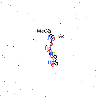 COc1cccc(-c2cnc(C(=O)NCCOCCNCC(=O)N3CCN(C(=O)c4cc(Cc5n[nH]c(=O)c6ccccc56)ccc4F)CC3)c(NC(C)=O)c2)c1